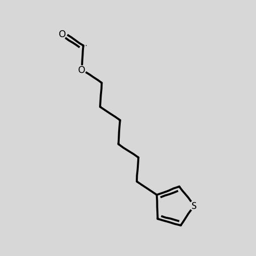 O=[C]OCCCCCCc1ccsc1